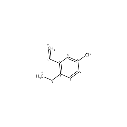 C=[C]c1cc(Cl)ccc1CC